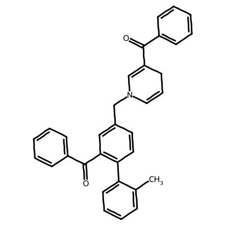 Cc1ccccc1-c1ccc(CN2C=CCC(C(=O)c3ccccc3)=C2)cc1C(=O)c1ccccc1